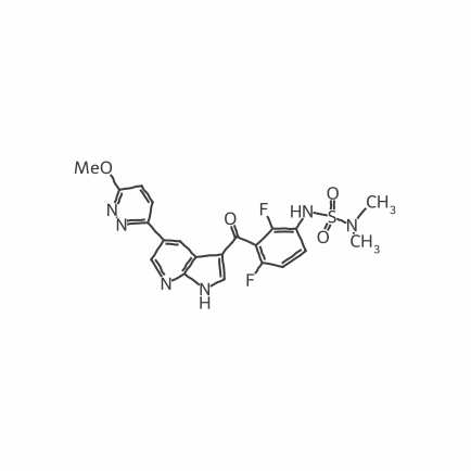 COc1ccc(-c2cnc3[nH]cc(C(=O)c4c(F)ccc(NS(=O)(=O)N(C)C)c4F)c3c2)nn1